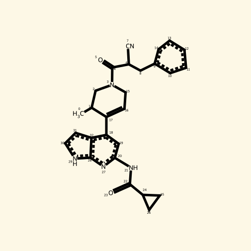 CC1CN(C(=O)C(C#N)Cc2ccccc2)CC=C1c1cc(NC(=O)C2CC2)nc2[nH]ccc12